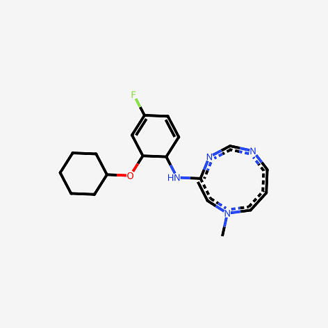 Cn1cccncnc(NC2C=CC(F)=CC2OC2CCCCC2)c1